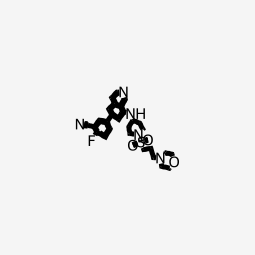 N#Cc1cc(-c2cc(NC3CCN(S(=O)(=O)CCCN4CCOCC4)CC3)c3cnccc3c2)ccc1F